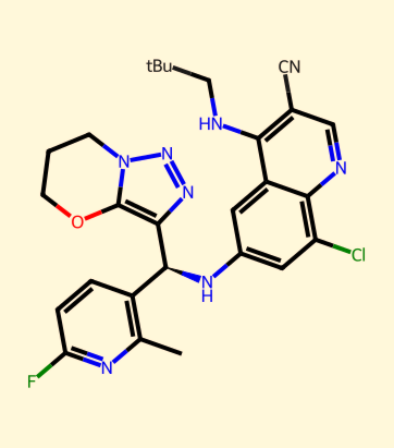 Cc1nc(F)ccc1[C@H](Nc1cc(Cl)c2ncc(C#N)c(NCC(C)(C)C)c2c1)c1nnn2c1OCCC2